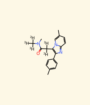 [2H]C([2H])(C(=O)N(C)C([2H])([2H])[2H])c1c(-c2ccc(C)cc2)nc2ccc(C)cn12